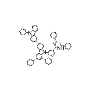 c1ccc(C2=NC(c3cccc(-n4c5ccc(-c6ccc7c(c6)c6ccccc6n7-c6ccccc6)cc5c5cc(-c6ccccc6)cc(-c6ccccc6)c54)c3)NC(c3ccccc3)C2)cc1